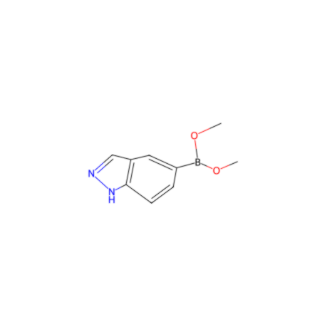 COB(OC)c1ccc2[nH]ncc2c1